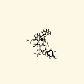 CCC(C)(O)C(=O)N[C@@H](C(=O)N1CC[C@H](c2ccc(Cl)cc2)C(C)(C)C1)C(C)C